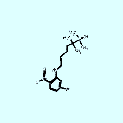 CC(C)(CCCCNc1cc(Br)ccc1[N+](=O)[O-])[Si](C)(C)O